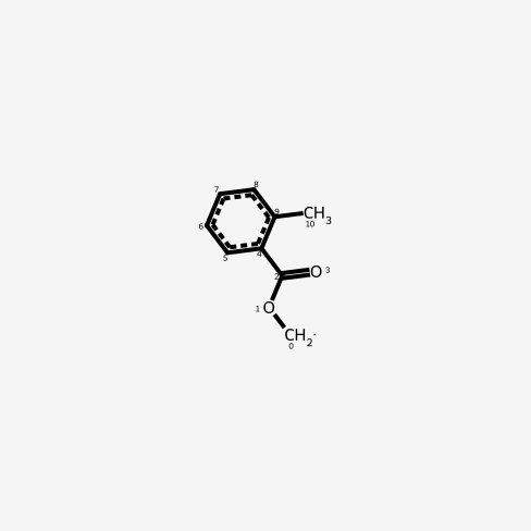 [CH2]OC(=O)c1ccccc1C